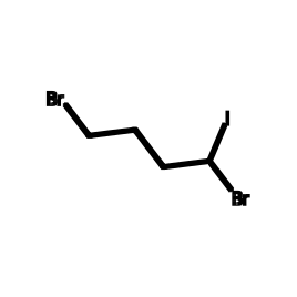 BrCCCC(Br)I